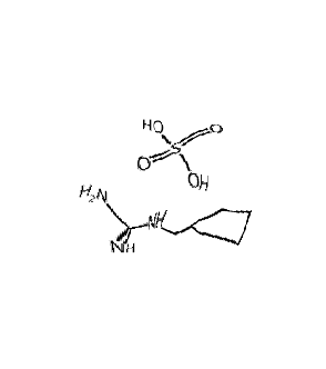 N=C(N)NCC1CCC1.O=S(=O)(O)O